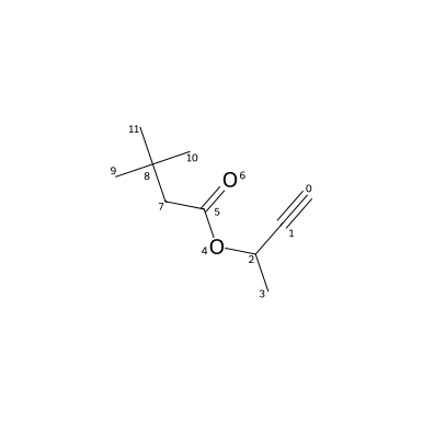 C#CC(C)OC(=O)CC(C)(C)C